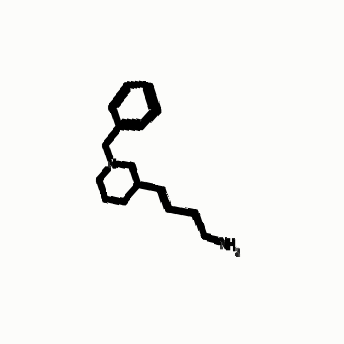 NCCCCC1CCCN(Cc2ccccc2)C1